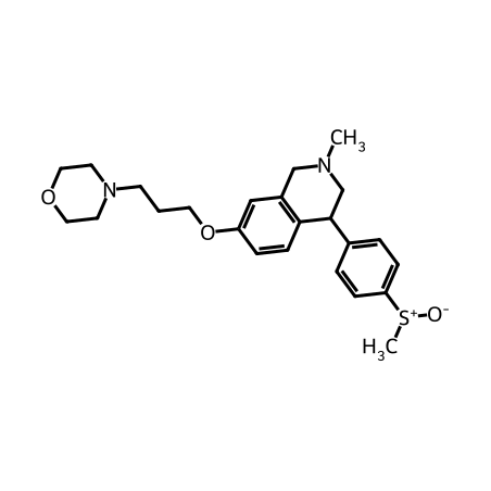 CN1Cc2cc(OCCCN3CCOCC3)ccc2C(c2ccc([S+](C)[O-])cc2)C1